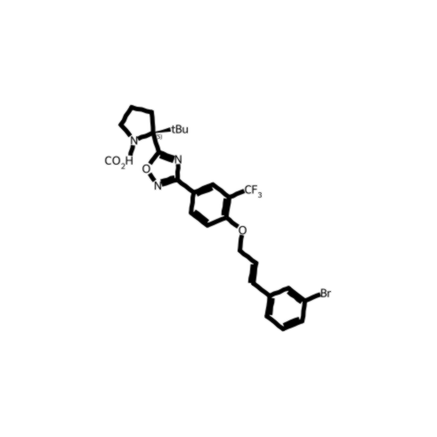 CC(C)(C)[C@]1(c2nc(-c3ccc(OCC=Cc4cccc(Br)c4)c(C(F)(F)F)c3)no2)CCCN1C(=O)O